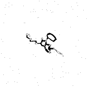 CCOCCOc1cc2cnc(SC)nc2n(C2CCCC2)c1=O